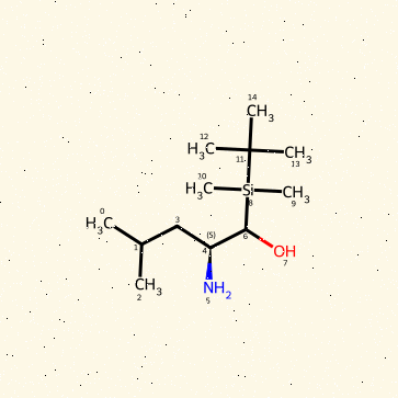 CC(C)C[C@H](N)C(O)[Si](C)(C)C(C)(C)C